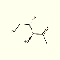 C=C(C)[C@@H](O)[C@@H](C)CC(C)C